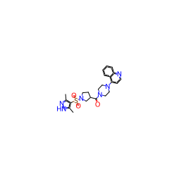 Cc1n[nH]c(C)c1S(=O)(=O)N1CCC(C(=O)N2CCN(c3ccnc4ccccc34)CC2)C1